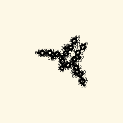 Cc1ccc(-c2ccc3c(c2)C(C)(C)c2cc(N(c4ccc(C5(c6ccc(N(c7ccc8c(c7)C(C)(C)c7cc(-c9ccc(C)cc9)ccc7-8)c7ccc8c(c7)C(C)(C)c7cc(-c9ccc(C)cc9)ccc7-8)cc6)CCCC5)cc4)c4ccc5c(c4)C(C)(C)c4cc(-c6ccc(C)cc6)ccc4-5)ccc2-3)cc1